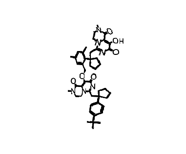 Cc1cc(C)c(C2(Cc3nc(=O)c(O)c4n3CCN(C)C4=O)CCCC2)c(COc2c3n(c(CC4(c5ccc(C(C)(C)C)cc5)CCCC4)nc2=O)CCN(C)C3=O)c1